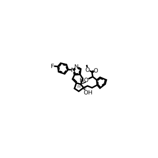 COC(=O)C(O)c1ccccc1CC[C@]1(O)CCC2=Cc3c(cnn3-c3ccc(F)cc3)C[C@@]21C